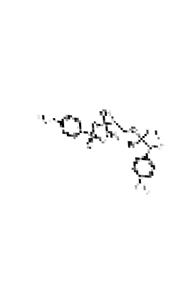 CCC(C)(OCCC(C)(C)OS(=O)(=O)c1ccc(C)cc1)[S+]([O-])c1ccc(C)cc1